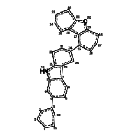 c1ccc(-c2ccc3c(c2)[nH]c2ccc(-c4cccc5oc6ccccc6c45)cc23)cc1